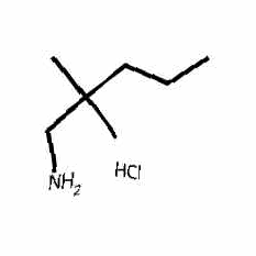 CCCC(C)(C)CN.Cl